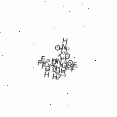 CC1(C)[C@@H]2[C@@H](C(=O)N[C@@H](CC3CCNC3=O)C(=O)COC(F)(F)F)N(C(=O)[C@H](O)CC(F)(F)F)C[C@@H]21